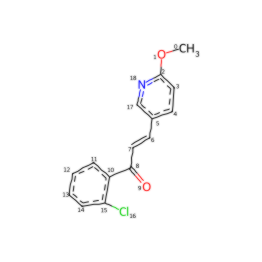 COc1ccc(/C=C/C(=O)c2ccccc2Cl)cn1